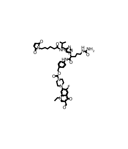 CCn1cc(C=O)c(=O)c2cc(F)c(N3CCN(C(=O)OCc4ccc(NC(=O)C(CCCNC(N)=O)n5cc(C(NC(=O)CCCCCN6C(=O)C=CC6=O)C(C)C)nn5)cc4)CC3)cc21